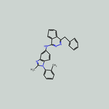 Cc1ccccc1-n1c(C)nc2cc(Nc3nnc(Cc4ccccc4)c4ccccc34)ccc21